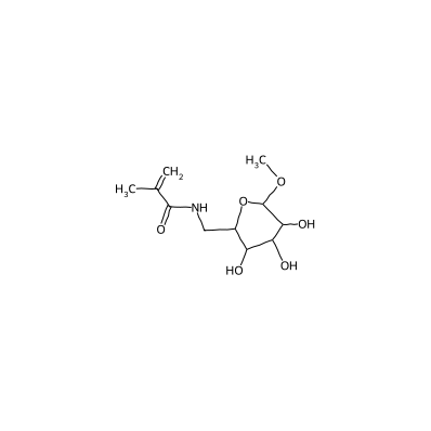 C=C(C)C(=O)NCC1OC(OC)C(O)C(O)C1O